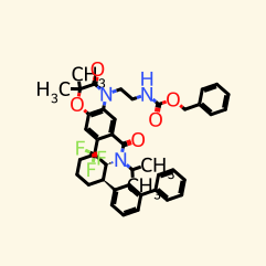 CC(C)N(C(=O)c1cc2c(cc1C(F)(F)F)OC(C)(C)C(=O)N2CCNC(=O)OCc1ccccc1)[C@H]1CCCC[C@@H]1c1cccc(-c2ccccc2)c1